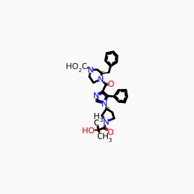 CC(C)(O)C(=O)N1CC[C@@H](n2cnc(C(=O)N3CCN(C(=O)O)C[C@H]3Cc3ccccc3)c2-c2ccccc2)C1